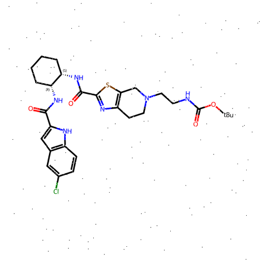 CC(C)(C)OC(=O)NCCN1CCc2nc(C(=O)N[C@H]3CCCC[C@H]3NC(=O)c3cc4cc(Cl)ccc4[nH]3)sc2C1